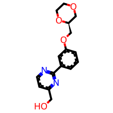 OCc1ccnc(-c2cccc(OC[C@@H]3COCCO3)c2)n1